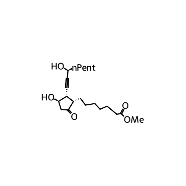 CCCCC[C@H](O)C#C[C@H]1[C@H](O)CC(=O)[C@H]1CCCCCCC(=O)OC